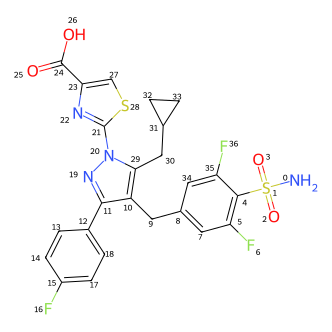 NS(=O)(=O)c1c(F)cc(Cc2c(-c3ccc(F)cc3)nn(-c3nc(C(=O)O)cs3)c2CC2CC2)cc1F